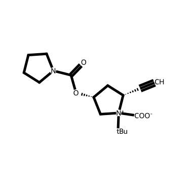 C#C[C@H]1C[C@@H](OC(=O)N2CCCC2)C[N+]1(C(=O)[O-])C(C)(C)C